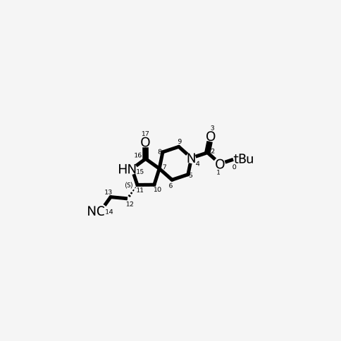 CC(C)(C)OC(=O)N1CCC2(CC1)C[C@H](CCC#N)NC2=O